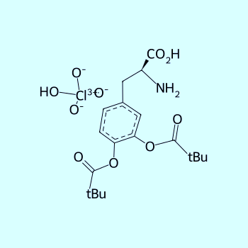 CC(C)(C)C(=O)Oc1ccc(C[C@H](N)C(=O)O)cc1OC(=O)C(C)(C)C.[O-][Cl+3]([O-])([O-])O